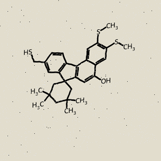 CSc1cc2c(O)cc3c(c2cc1SC)-c1ccc(CS)cc1C31CC(C)(C)CC(C)(C)C1